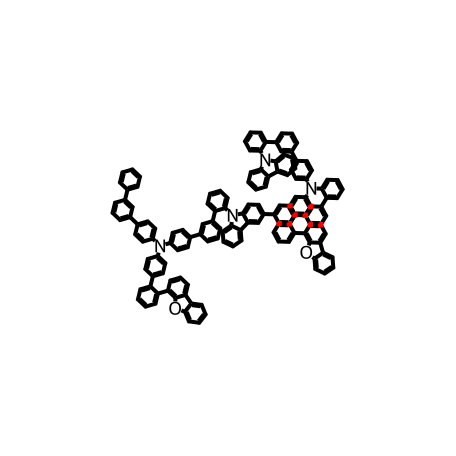 c1ccc(-c2cccc(-c3ccc(N(c4ccc(-c5cccc(-c6ccccc6-n6c7ccccc7c7cc(-c8ccc(-c9cccc(-c%10ccccc%10N(c%10ccc(-c%11cccc(-c%12ccccc%12-n%12c%13ccccc%13c%13ccccc%13%12)c%11)cc%10)c%10ccc(-c%11ccccc%11-c%11cccc%12c%11oc%11ccccc%11%12)cc%10)c9)cc8)ccc76)c5)cc4)c4ccc(-c5ccccc5-c5cccc6c5oc5ccccc56)cc4)cc3)c2)cc1